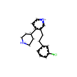 Clc1cccc(CCc2[c]nccc2C2CCNCC2)c1